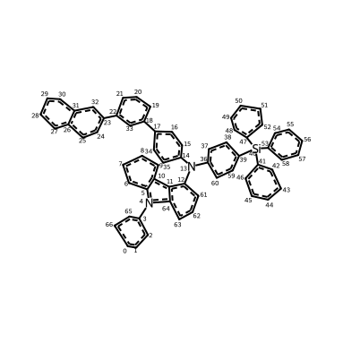 c1ccc(-n2c3ccccc3c3c(N(c4ccc(-c5cccc(-c6ccc7ccccc7c6)c5)cc4)c4ccc([Si](c5ccccc5)(c5ccccc5)c5ccccc5)cc4)cccc32)cc1